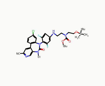 CCN1C(=O)N(c2c(F)cc(NCCN(CCO[Si](C)(C)C(C)(C)C)C(=O)OC(C)(C)C)cc2F)c2cc(Cl)ccc2-c2cc(C#N)ncc21